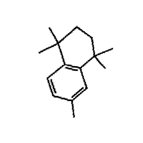 Cc1[c]cc2c(c1)C(C)(C)CCC2(C)C